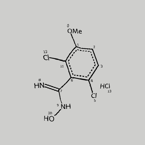 COc1ccc(Cl)c(C(=N)NO)c1Cl.Cl